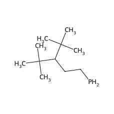 CC(C)(C)C(CCP)C(C)(C)C